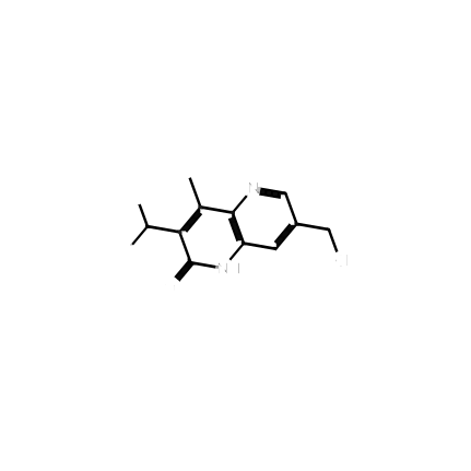 Cc1c(C(F)F)c(=O)[nH]c2cc(CCl)cnc12